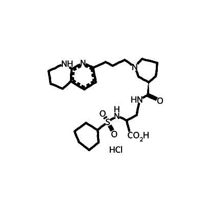 Cl.O=C(O)C(CNC(=O)[C@@H]1CCCN(CCCc2ccc3c(n2)NCCC3)C1)NS(=O)(=O)C1CCCCC1